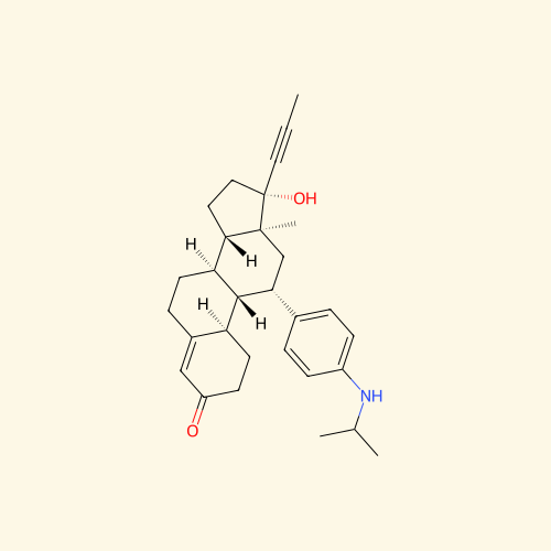 CC#C[C@]1(O)CC[C@H]2[C@@H]3CCC4=CC(=O)CC[C@@H]4[C@H]3[C@@H](c3ccc(NC(C)C)cc3)C[C@@]21C